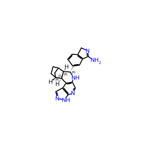 NC1=NCc2ccc([C@@H]3Nc4cnc5[nH]ncc5c4[C@H]4[C@@H]5CCC(C5)[C@H]43)cc21